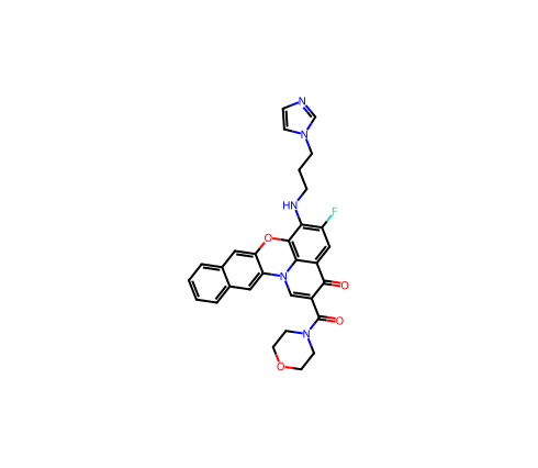 O=C(c1cn2c3c(c(NCCCn4ccnc4)c(F)cc3c1=O)Oc1cc3ccccc3cc1-2)N1CCOCC1